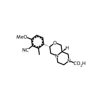 COc1ccc([C@H]2CN3CCN(C(=O)O)C[C@H]3CO2)c(C)c1C#N